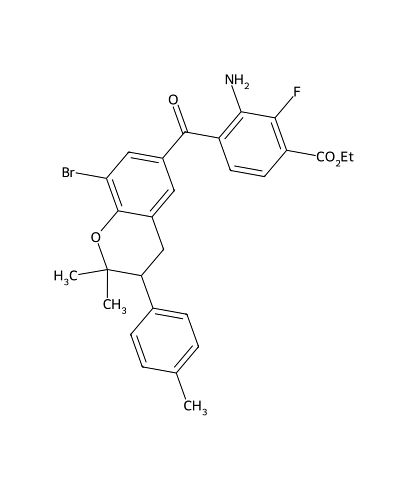 CCOC(=O)c1ccc(C(=O)c2cc(Br)c3c(c2)CC(c2ccc(C)cc2)C(C)(C)O3)c(N)c1F